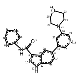 O=C(Nc1cnccn1)c1n[nH]c2ccc(-c3cncc(N4CCOCC4)c3)cc12